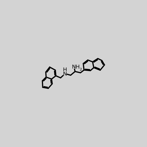 NC(CNCc1cccc2ccccc12)Cc1ccc2ccccc2c1